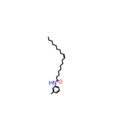 CCCCCCCC/C=C\CCCCCCCC(=O)Nc1cccc(C)c1